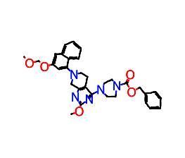 COCOc1cc(N2CCc3c(nc(OC)nc3N3CCN(C(=O)OCc4ccccc4)CC3)C2)c2ccccc2c1